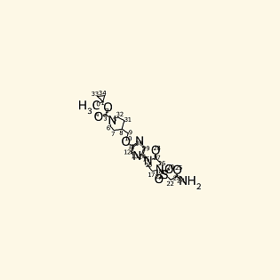 CC1(OC(=O)N2CCC(COc3cnc(N4CCN(S(=O)(=O)CC(N)=O)CC4=O)cn3)CC2)CC1